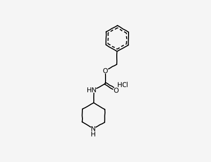 Cl.O=C(NC1CCNCC1)OCc1ccccc1